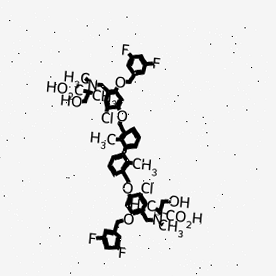 Cc1c(COc2cc(OCc3cc(F)cc(F)c3)c(CN(C)C(C)(CO)C(=O)O)cc2Cl)cccc1-c1cccc(COc2cc(OCc3cc(F)cc(F)c3)c(CN(C)[C@@](C)(CO)C(=O)O)cc2Cl)c1C